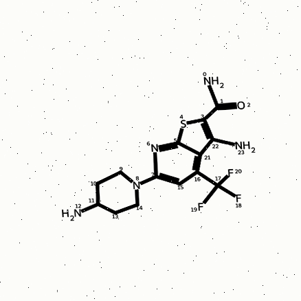 NC(=O)c1sc2nc(N3CCC(N)CC3)cc(C(F)(F)F)c2c1N